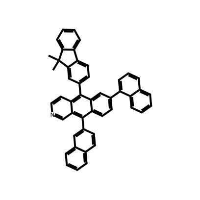 CC1(C)c2ccccc2-c2ccc(-c3c4ccncc4c(-c4ccc5ccccc5c4)c4ccc(-c5cccc6ccccc56)cc34)cc21